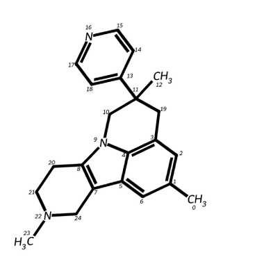 Cc1cc2c3c(c1)c1c(n3CC(C)(c3ccncc3)C2)CCN(C)C1